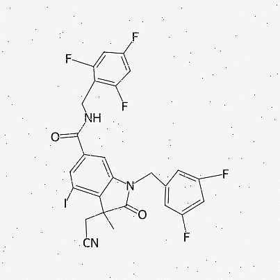 CC1(CC#N)C(=O)N(Cc2cc(F)cc(F)c2)c2cc(C(=O)NCc3c(F)cc(F)cc3F)cc(I)c21